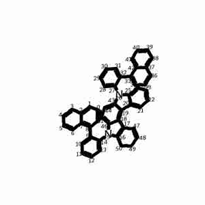 c1cc2ccccc2c(-c2ccccc2-n2c3c(c4c5c6ccccc6n(-c6ccccc6-c6cccc7ccccc67)c5ccc42)C=CCC3)c#1